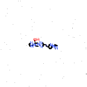 OC[C@H]1CN(c2ncc(/C=C/c3ccc(-n4ccnc4)nc3)cn2)CCN1c1ncccn1